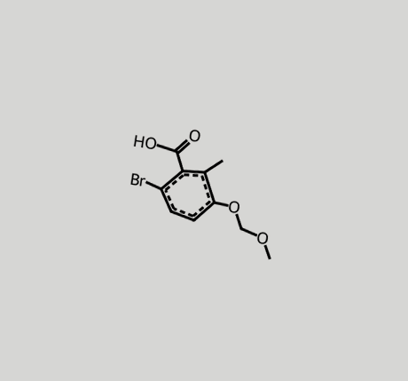 COCOc1ccc(Br)c(C(=O)O)c1C